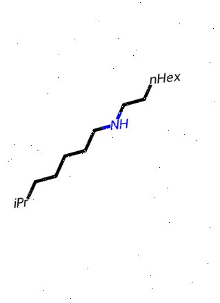 CCCCCCCCNCCCCCC(C)C